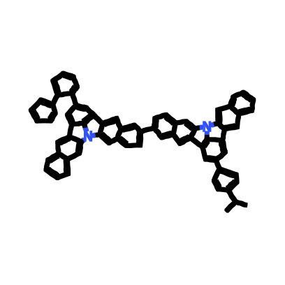 CC(C)c1ccc(-c2cc3c4cc5ccccc5cc4n4c5cc6ccc(-c7ccc8cc9c(cc8c7)c7cc(-c8ccccc8-c8ccccc8)cc8c%10cc%11ccccc%11cc%10n9c87)cc6cc5c(c2)c34)cc1